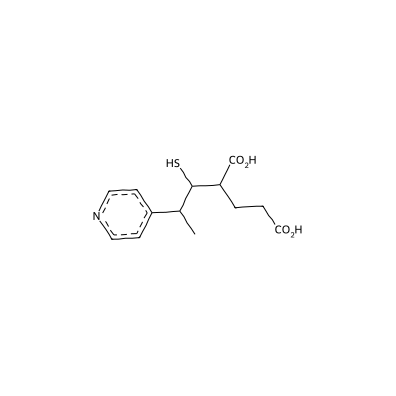 CC(c1ccncc1)C(S)C(CCC(=O)O)C(=O)O